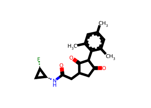 Cc1cc(C)c(C2C(=O)CC(CC(=O)N[C@@H]3C[C@@H]3F)C2=O)c(C)c1